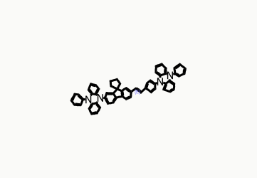 C(=C\c1ccc2c(c1)C1(CCCC1)c1cc(N3c4ccccc4N(c4ccccc4)c4ccccc43)ccc1-2)/c1ccc(N2c3ccccc3N(c3ccccc3)c3ccccc32)cc1